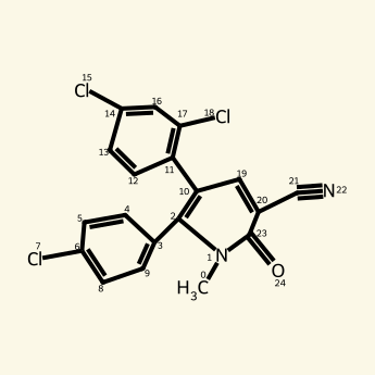 Cn1c(-c2ccc(Cl)cc2)c(-c2ccc(Cl)cc2Cl)cc(C#N)c1=O